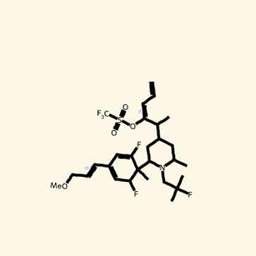 C=C/C=C(/OS(=O)(=O)C(F)(F)F)C(C)C1CC(C)N(CC(C)(C)F)C(C2(C)C(F)=CC(/C=C/COC)=CC2F)C1